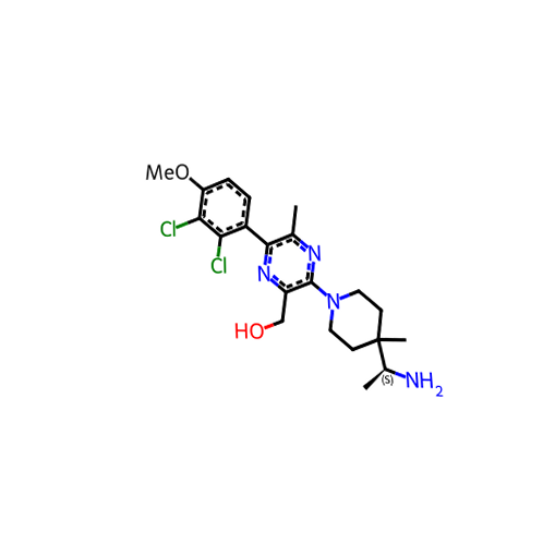 COc1ccc(-c2nc(CO)c(N3CCC(C)([C@H](C)N)CC3)nc2C)c(Cl)c1Cl